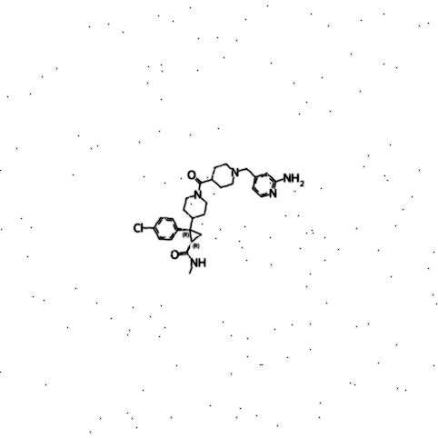 CNC(=O)[C@@H]1C[C@@]1(c1ccc(Cl)cc1)C1CCN(C(=O)C2CCN(Cc3ccnc(N)c3)CC2)CC1